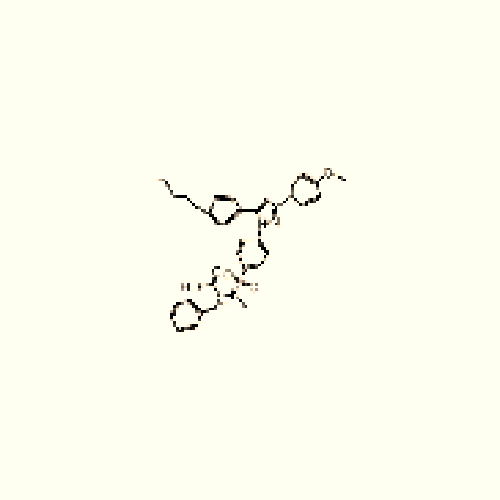 CCCCCc1ccc(-c2cc(-c3ccc(OC)cc3)nn2-c2ccc(S(=O)(=O)N(C)[C@@H](Cc3ccccc3)C(=O)O)cc2)cc1